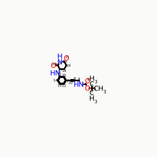 CC(C)(C)OC(=O)NCC#Cc1cccc(N[C@@H]2CCC(=O)NC2=O)c1